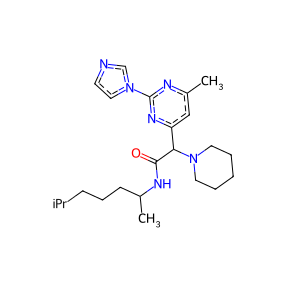 Cc1cc(C(C(=O)NC(C)CCCC(C)C)N2CCCCC2)nc(-n2ccnc2)n1